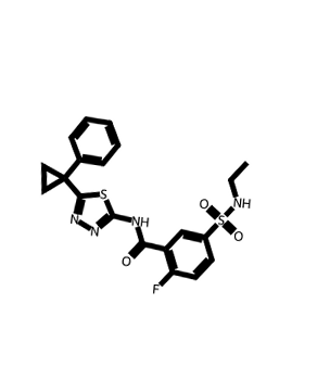 CCNS(=O)(=O)c1ccc(F)c(C(=O)Nc2nnc(C3(c4ccccc4)CC3)s2)c1